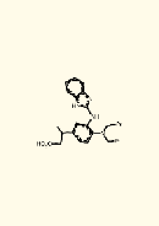 CC(C)CN(CC(C)C)c1ccc(C(C)CC(=O)O)cc1Nc1nc2ccccc2[nH]1